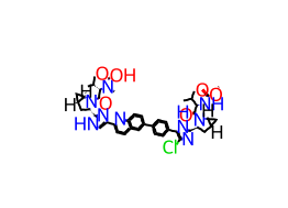 COC(=O)N[C@H](C(=O)N1[C@@H]2C[C@H]2C[C@H]1c1nc(Cl)c(-c2ccc(-c3ccc4nc(-c5c[nH]c([C@@H]6C[C@H]7C[C@H]7N6C(=O)[C@H](C(C)C)N(C)C(=O)O)n5)ccc4c3)cc2)[nH]1)C(C)C